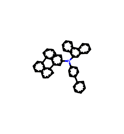 c1ccc(-c2ccc(N(c3cccc(-c4cccc5cccc(-c6ccccc6)c45)c3)c3cc4ccccc4c4ccccc34)cc2)cc1